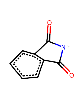 O=C1[N+]C(=O)c2ccccc21